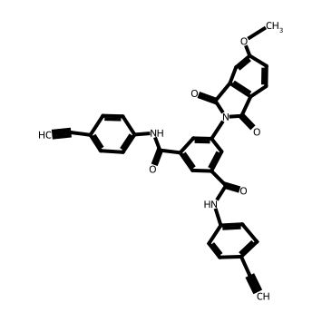 C#Cc1ccc(NC(=O)c2cc(C(=O)Nc3ccc(C#C)cc3)cc(N3C(=O)c4ccc(OC)cc4C3=O)c2)cc1